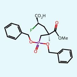 COC(=O)[C@](C)(C[C@@H](F)C(=O)O)CP(=O)(OCc1ccccc1)OCc1ccccc1